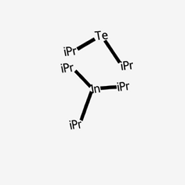 CC(C)[Te]C(C)C.C[CH](C)[In]([CH](C)C)[CH](C)C